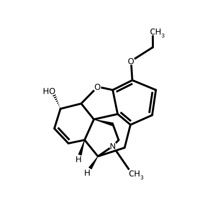 CCOc1ccc2c3c1OC1[C@@H](O)C=C[C@H]4[C@@H](C2)N(C)CC[C@]314